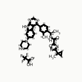 Cc1cc(-c2ncnc3[nH]c4cc(N5CCNCC5)ccc4c23)ccc1[C@@H](C)NC(=O)c1nc(C2(C)CC2)no1.O=C(O)C(F)(F)F